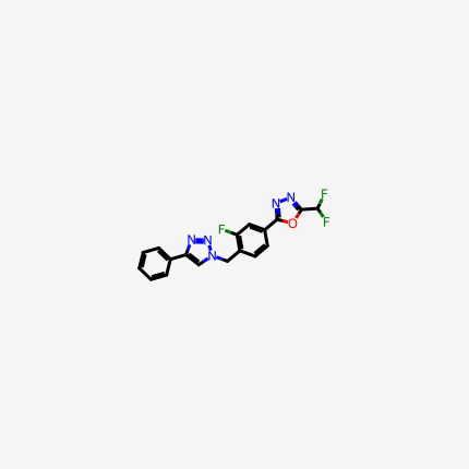 Fc1cc(-c2nnc(C(F)F)o2)ccc1Cn1cc(-c2ccccc2)nn1